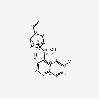 C=CC1CN2CCC1C[C@@H]2[C@H](O)c1ccnc2ccc(C)cc12